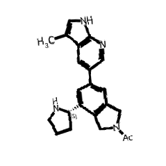 CC(=O)N1Cc2cc(-c3cnc4[nH]cc(C)c4c3)cc([C@@H]3CCCN3)c2C1